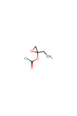 CCC1(OC(=O)Cl)CO1